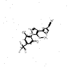 CSc1c(-c2nc(C#N)c[nH]2)cnn1-c1c(Cl)cc(C(F)(F)F)cc1Cl